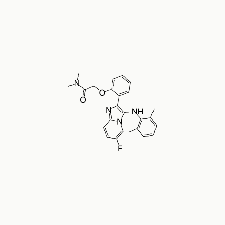 Cc1cccc(C)c1Nc1c(-c2ccccc2OCC(=O)N(C)C)nc2ccc(F)cn12